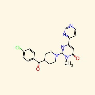 Cn1c(N2CCC(C(=O)c3ccc(Cl)cc3)CC2)nc(-c2ccncn2)cc1=O